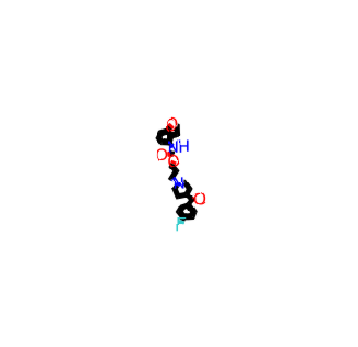 O=C(Nc1cccc2occc12)OCCCN1CCC(C(=O)c2ccc(F)cc2)CC1